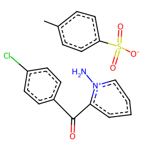 Cc1ccc(S(=O)(=O)[O-])cc1.N[n+]1ccccc1C(=O)c1ccc(Cl)cc1